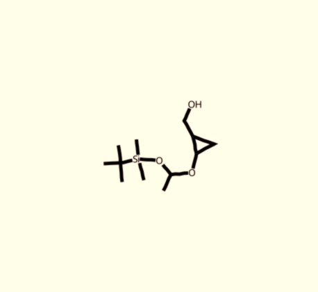 CC(OC1CC1CO)O[Si](C)(C)C(C)(C)C